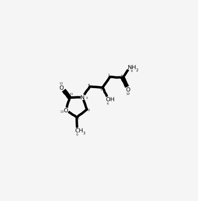 CC1CN(CC(O)CC(N)=O)C(=O)O1